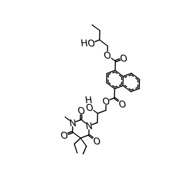 CCC(O)COC(=O)c1ccc(C(=O)OCC(O)CN2C(=O)N(C)C(=O)C(CC)(CC)C2=O)c2ccccc12